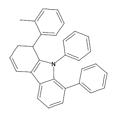 Cc1ccccc1C1CC=Cc2c1n(-c1ccccc1)c1c(-c3ccccc3)cccc21